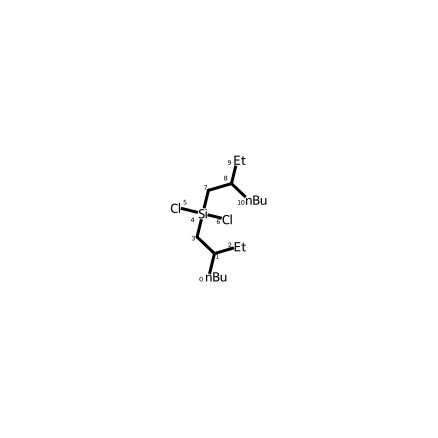 CCCCC(CC)C[Si](Cl)(Cl)CC(CC)CCCC